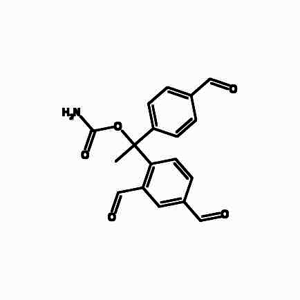 CC(OC(N)=O)(c1ccc(C=O)cc1)c1ccc(C=O)cc1C=O